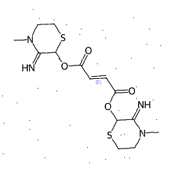 CN1CCSC(OC(=O)/C=C/C(=O)OC2SCCN(C)C2=N)C1=N